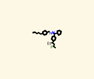 C=CCCCc1ccc(C=NN=C(c2ccccc2)c2ccc(C(CC)CC(C)F)cc2)cc1